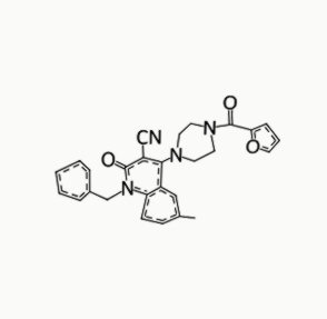 Cc1ccc2c(c1)c(N1CCN(C(=O)c3ccco3)CC1)c(C#N)c(=O)n2Cc1ccccc1